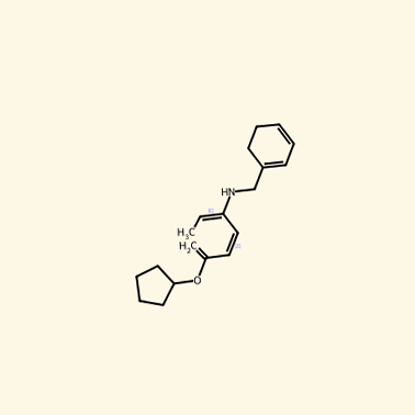 C=C(/C=C\C(=C/C)NCC1=CC=CCC1)OC1CCCC1